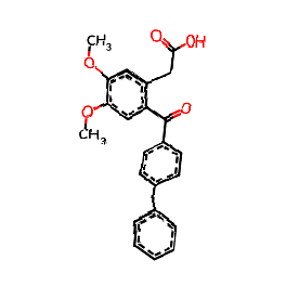 COc1cc(CC(=O)O)c(C(=O)c2ccc(-c3ccccc3)cc2)cc1OC